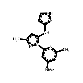 CNc1cc(-n2nc(C)cc2Nc2cc[nH]n2)nc(C)n1